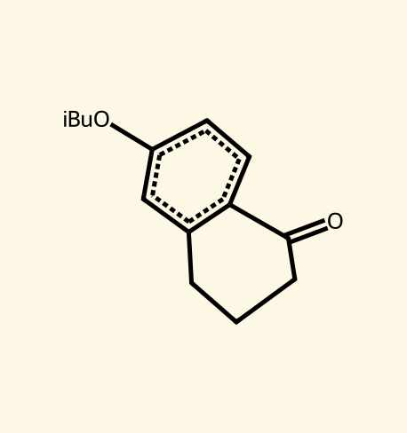 CC(C)COc1ccc2c(c1)CCCC2=O